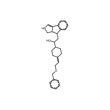 OC(CC1c2ccccc2C2=CNCN21)C1CCC(=CCOCc2ccccc2)CC1